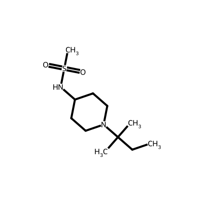 CCC(C)(C)N1CCC(NS(C)(=O)=O)CC1